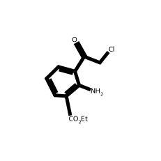 CCOC(=O)c1cccc(C(=O)CCl)c1N